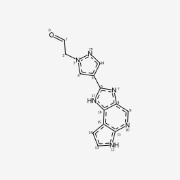 O=CCn1cc(-c2nc3cnc4[nH]ccc4c3[nH]2)cn1